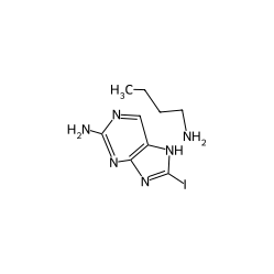 CCCCN.Nc1ncc2[nH]c(I)nc2n1